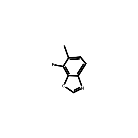 Cc1ccc2ncoc2c1F